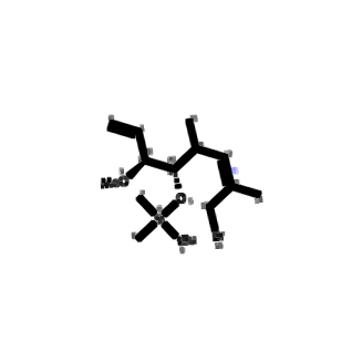 C=C[C@H](OC)[C@@H](O[Si](C)(C)C(C)(C)C)C(C)/C=C(/C)CBr